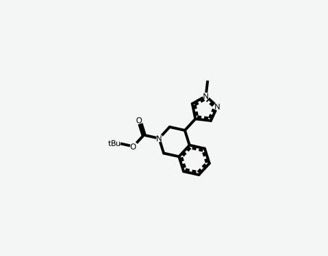 Cn1cc(C2CN(C(=O)OC(C)(C)C)Cc3ccccc32)cn1